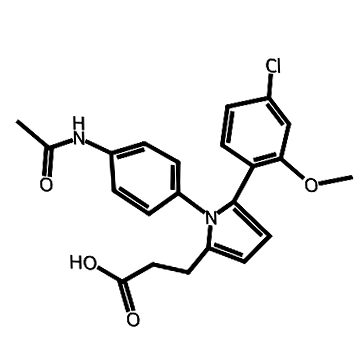 COc1cc(Cl)ccc1-c1ccc(CCC(=O)O)n1-c1ccc(NC(C)=O)cc1